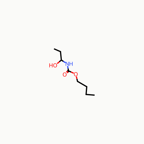 CCCCOC(=O)NC(O)CC